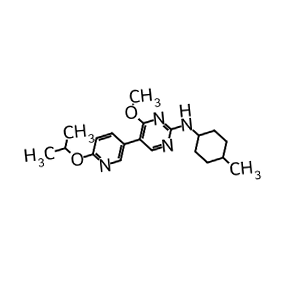 COc1nc(NC2CCC(C)CC2)ncc1-c1ccc(OC(C)C)nc1